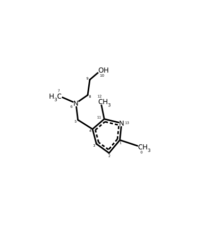 Cc1ccc(CN(C)CCO)c(C)n1